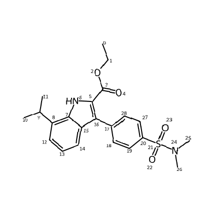 CCOC(=O)c1[nH]c2c(C(C)C)cccc2c1-c1ccc(S(=O)(=O)N(C)C)cc1